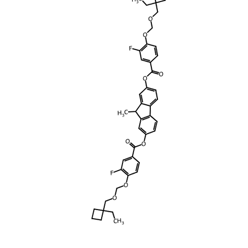 CCC1(COCOc2ccc(C(=O)Oc3ccc4c(c3)C(C)c3cc(OC(=O)c5ccc(OCOCC6(CC)COC6)c(F)c5)ccc3-4)cc2F)CCC1